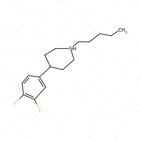 CCCCC[SiH]1CCC(c2ccc(F)c(F)c2)CC1